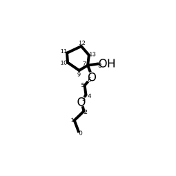 CCCOCCOC1(O)CCCCC1